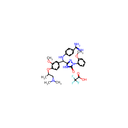 COc1cc(C(Nc2ccc(C(=N)N)cc2)c2nn(-c3ccccc3OC)c(=O)[nH]2)ccc1OC(C)CN(C)C.O=C(O)C(F)(F)F